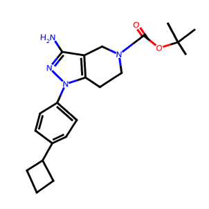 CC(C)(C)OC(=O)N1CCc2c(c(N)nn2-c2ccc(C3CCC3)cc2)C1